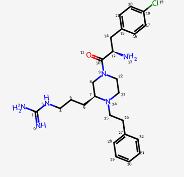 N=C(N)NCCC[C@H]1CN(C(=O)[C@H](N)Cc2ccc(Cl)cc2)CCN1CCc1ccccc1